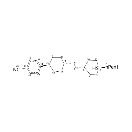 CCCCC[Si@H]1CC[C@H](CC[C@H]2CC[C@H](c3ccc(C#N)cc3)CC2)CC1